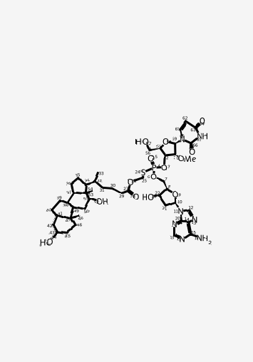 CO[C@@H]1C(OP(=O)(OC[C@H]2O[C@@H](n3cnc4c(N)ncnc43)CC2O)SCOC(=O)CCCC(C)C2CCC3C4CCC5CC(O)CCC5(C)C4CC(O)C23C)[C@@H](CO)O[C@H]1n1ccc(=O)[nH]c1=O